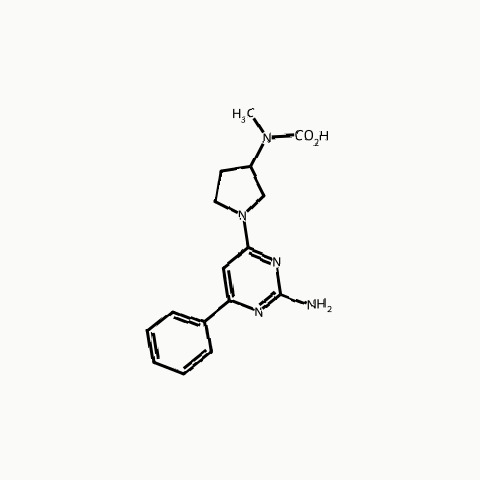 CN(C(=O)O)C1CCN(c2cc(-c3ccccc3)nc(N)n2)C1